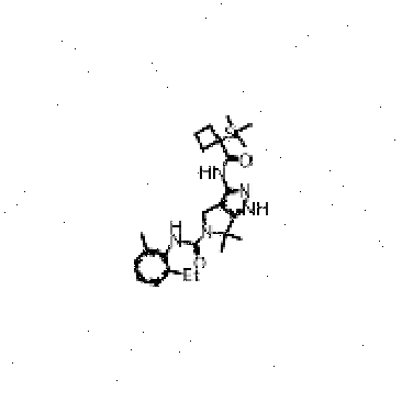 CCc1cccc(C)c1NC(=O)N1Cc2c(NC(=O)C3([Si](C)(C)C)CCC3)n[nH]c2C1(C)C